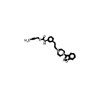 CC#CCOC(=O)Nc1cccc(CCN2CCN(c3nsc4ccccc34)CC2)c1